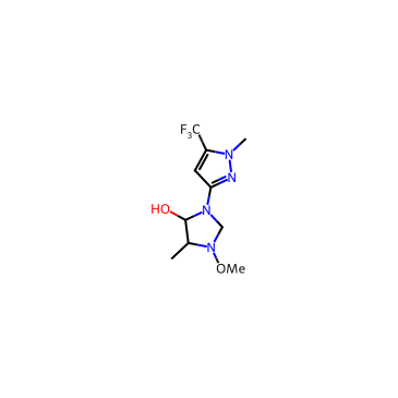 CON1CN(c2cc(C(F)(F)F)n(C)n2)C(O)C1C